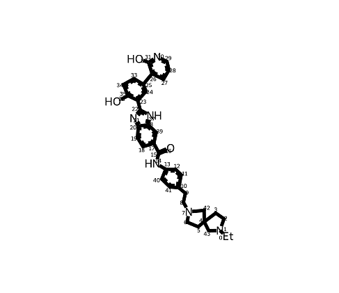 CCN1CCC2(CCN(CCc3ccc(NC(=O)c4ccc5nc(-c6cc(-c7cccnc7O)ccc6O)[nH]c5c4)cc3)C2)C1